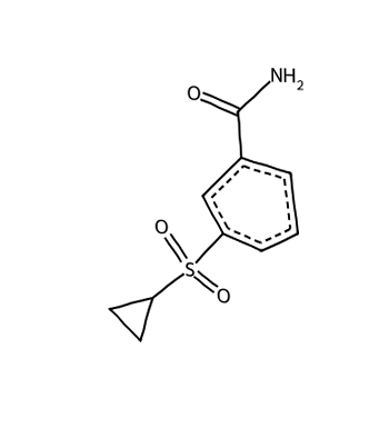 NC(=O)c1cccc(S(=O)(=O)C2CC2)c1